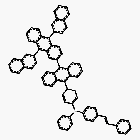 C1=CC(c2c3ccccc3c(-c3ccc4c(-c5ccc6ccccc6c5)c5ccccc5c(-c5ccc6ccccc6c5)c4c3)c3ccccc23)CC=C1N(c1ccccc1)c1ccc(/C=C/c2ccccc2)cc1